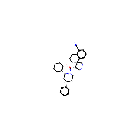 N#Cc1cccc2c1CCC[C@]21CNC[C@H]1C(=O)N1CC[C@@H](c2ccccc2)C[C@H]1C1CCCCC1